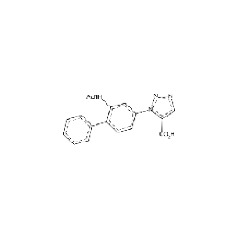 CC(=O)Nc1cc(-n2nncc2C(=O)O)ccc1-c1ccccc1